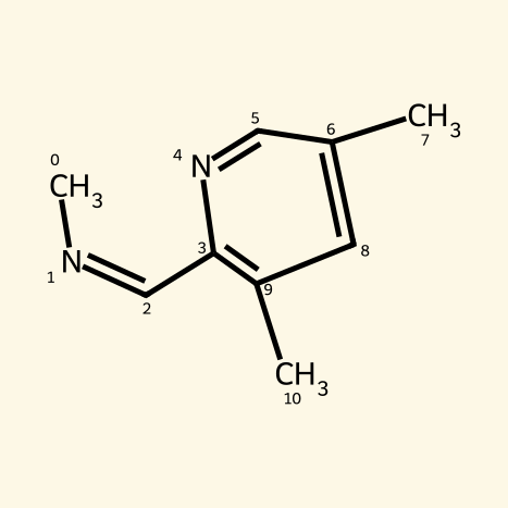 C/N=C\c1ncc(C)cc1C